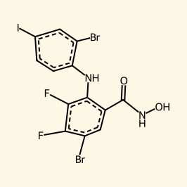 O=C(NO)c1cc(Br)c(F)c(F)c1Nc1ccc(I)cc1Br